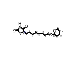 O=C1NC(=S)N/C1=C/CCCCCCCOC1CCCCO1